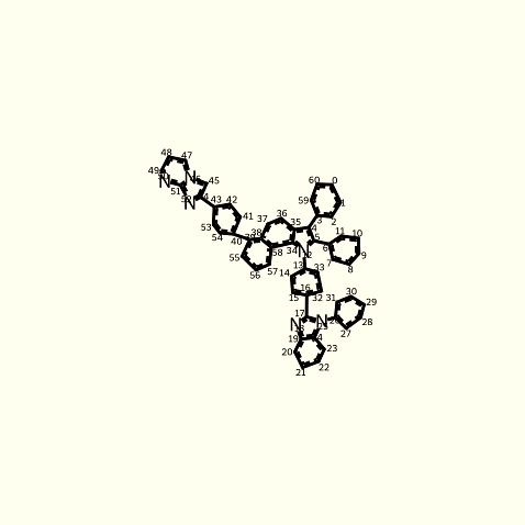 c1ccc(-c2c(-c3ccccc3)n(-c3ccc(-c4nc5ccccc5n4-c4ccccc4)cc3)c3c2ccc2c(-c4ccc(-c5cn6cccnc6n5)cc4)cccc23)cc1